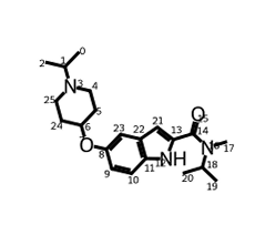 CC(C)N1CCC(Oc2ccc3[nH]c(C(=O)N(C)C(C)C)cc3c2)CC1